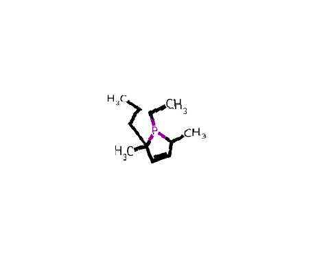 CCCC1(C)C=CC(C)P1CC